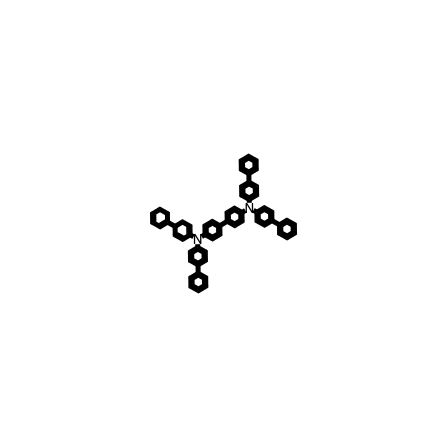 C1=CCCC(C2C=CC(N(c3ccc(-c4ccccc4)cc3)c3ccc(-c4ccc(N(c5ccc(-c6ccccc6)cc5)c5ccc(-c6ccccc6)cc5)cc4)cc3)=CC2)=C1